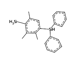 Cc1cc([SiH](c2ccccc2)c2ccccc2)c(C)c(C)c1[SiH3]